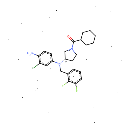 Nc1ccc(N(Cc2cccc(F)c2F)[C@H]2CCN(C(=O)C3CCCCC3)C2)cc1Cl